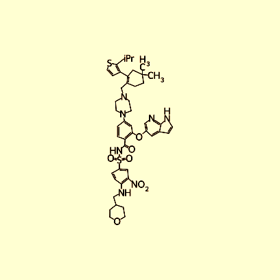 CC(C)c1sccc1C1=C(CN2CCN(c3ccc(C(=O)NS(=O)(=O)c4ccc(NCC5CCOCC5)c([N+](=O)[O-])c4)c(Oc4cnc5[nH]ccc5c4)c3)CC2)CCC(C)(C)C1